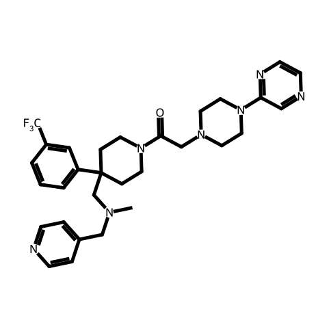 CN(Cc1ccncc1)CC1(c2cccc(C(F)(F)F)c2)CCN(C(=O)CN2CCN(c3cnccn3)CC2)CC1